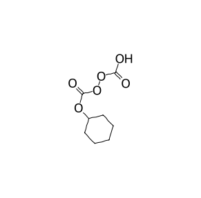 O=C(O)OOC(=O)OC1CCCCC1